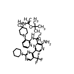 C=C(NC1(C)CCN(c2cccnc2NC(=C)c2nc(-c3nc(N4CCCCC4)ncc3C(F)(F)F)cnc2N)CC1)OC(C)(C)C